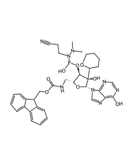 CN(C)N(CCC#N)P(O)O[C@@H]1[C@@H](CNC(=O)OCC2c3ccccc3-c3ccccc32)O[C@@H](n2cnc3c(O)ncnc32)[C@@]1(O)C1CCCCO1